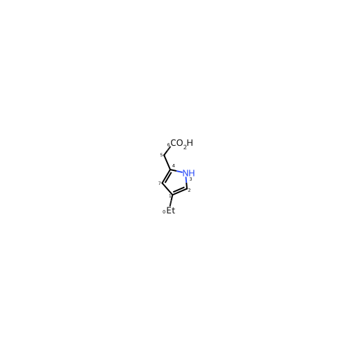 CCc1c[nH]c(CC(=O)O)c1